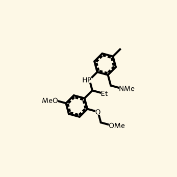 CCC(Pc1ccc(C)cc1CNC)c1cc(OC)ccc1OCOC